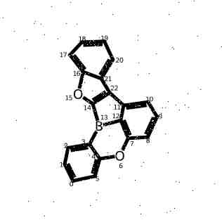 c1ccc2c(c1)Oc1cccc3c1B2c1oc2ccccc2c1-3